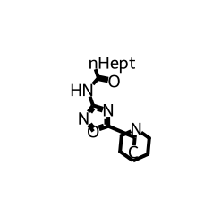 CCCCCCCC(=O)Nc1noc(C2CC3CCN2CC3)n1